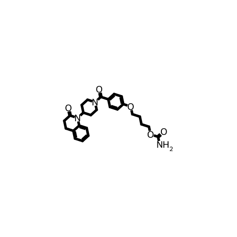 NC(=O)OCCCCOc1ccc(C(=O)N2CCC(N3C(=O)CCc4ccccc43)CC2)cc1